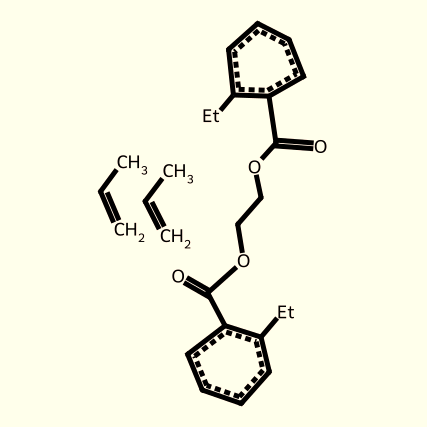 C=CC.C=CC.CCc1ccccc1C(=O)OCCOC(=O)c1ccccc1CC